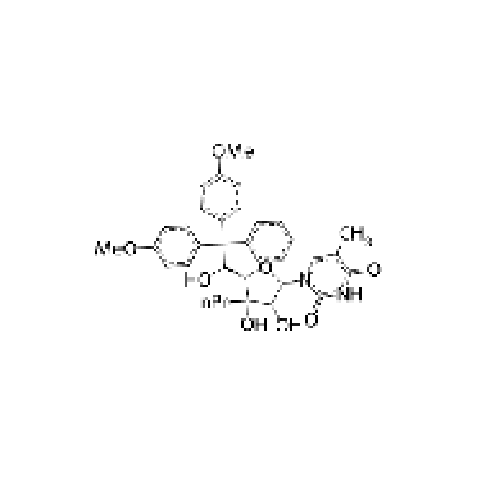 CCC[C@@]1(O)[C@@H](C(O)C(c2ccccc2)(c2ccc(OC)cc2)c2ccc(OC)cc2)O[C@@H](n2cc(C)c(=O)[nH]c2=O)[C@@H]1O